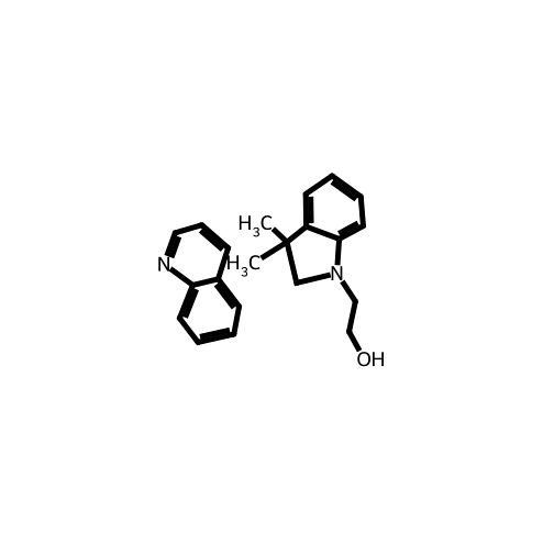 CC1(C)CN(CCO)c2ccccc21.c1ccc2ncccc2c1